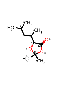 CC(C)C[C@@H](C)[C@@H]1OC(C)(C)OC1=O